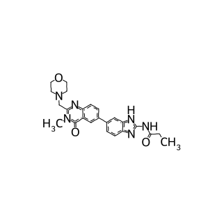 CCC(=O)Nc1nc2ccc(-c3ccc4nc(CN5CCOCC5)n(C)c(=O)c4c3)cc2[nH]1